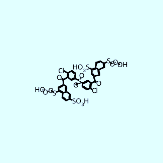 O=C(c1cc(SOOO)c2ccc(S(=O)(=O)O)cc2c1)c1cc(S(=O)(=O)c2ccc(Cl)c(C(=O)c3cc(S(=O)(=O)O)c4ccc(SOOO)cc4c3)c2)ccc1Cl